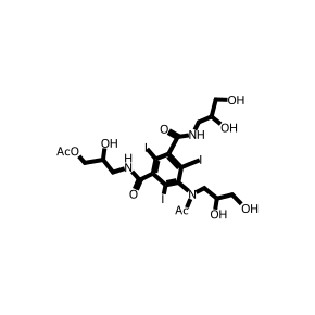 CC(=O)OCC(O)CNC(=O)c1c(I)c(C(=O)NCC(O)CO)c(I)c(N(CC(O)CO)C(C)=O)c1I